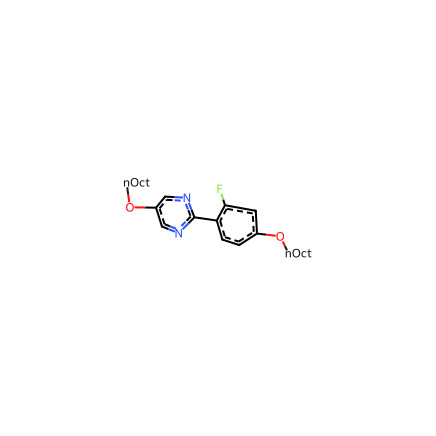 CCCCCCCCOc1cnc(-c2ccc(OCCCCCCCC)cc2F)nc1